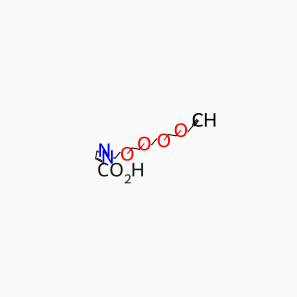 C#CCOCCOCCOCCOCCn1nccc1C(=O)O